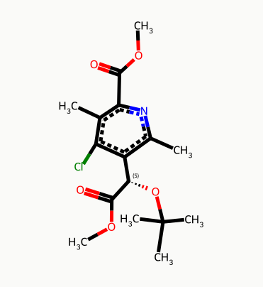 COC(=O)c1nc(C)c([C@H](OC(C)(C)C)C(=O)OC)c(Cl)c1C